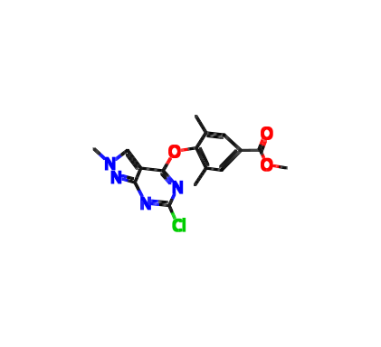 COC(=O)c1cc(C)c(Oc2nc(Cl)nc3nn(C)cc23)c(C)c1